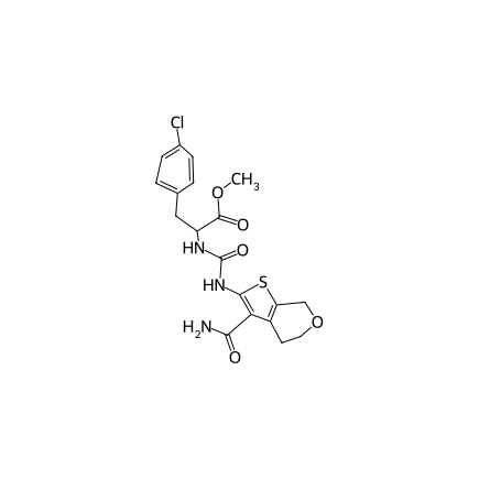 COC(=O)C(Cc1ccc(Cl)cc1)NC(=O)Nc1sc2c(c1C(N)=O)CCOC2